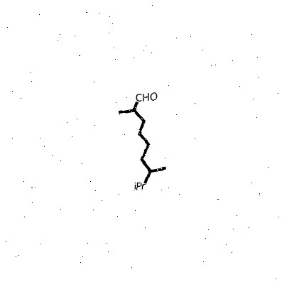 CC(C=O)CCCCC(C)C(C)C